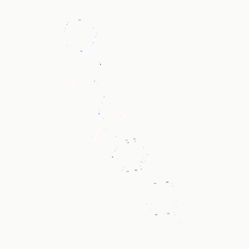 C[C@@H]1CCC[C@H](C)N1C[C@@H](O)CNS(=O)(=O)c1ccc(C2C=CC(Cl)=CC2)cc1